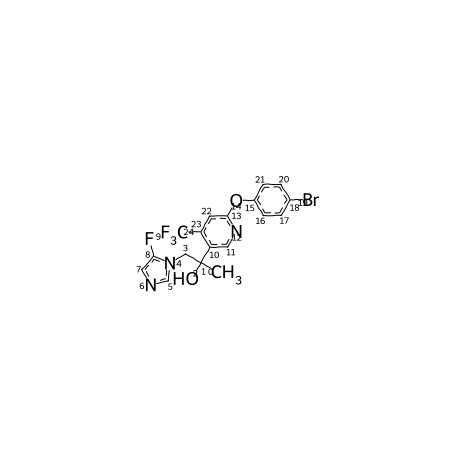 CC(O)(Cn1cncc1F)c1cnc(Oc2ccc(Br)cc2)cc1C(F)(F)F